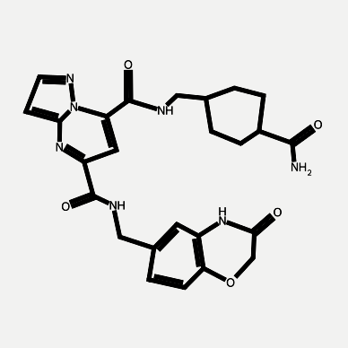 NC(=O)C1CCC(CNC(=O)c2cc(C(=O)NCc3ccc4c(c3)NC(=O)CO4)nc3ccnn23)CC1